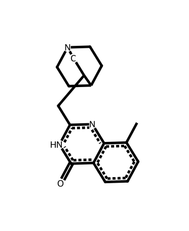 Cc1cccc2c(=O)[nH]c(CC3CN4CCC3CC4)nc12